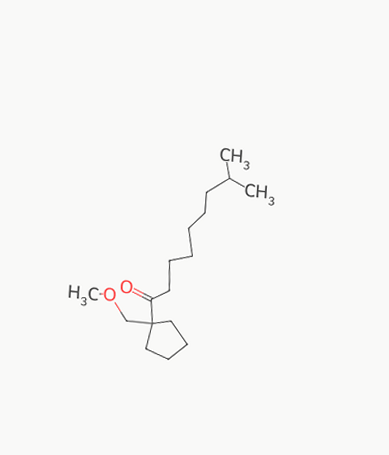 COCC1(C(=O)CCCCCCC(C)C)CCCC1